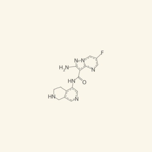 Nc1nn2cc(F)cnc2c1C(=O)Nc1cncc2c1CCNC2